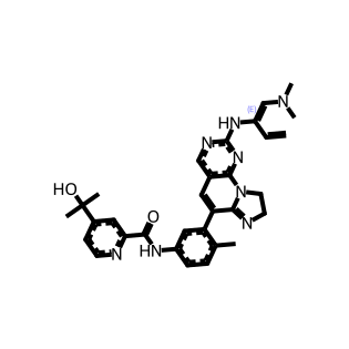 C=C/C(=C\N(C)C)Nc1ncc2c(n1)N1CCN=C1C(c1cc(NC(=O)c3cc(C(C)(C)O)ccn3)ccc1C)=C2